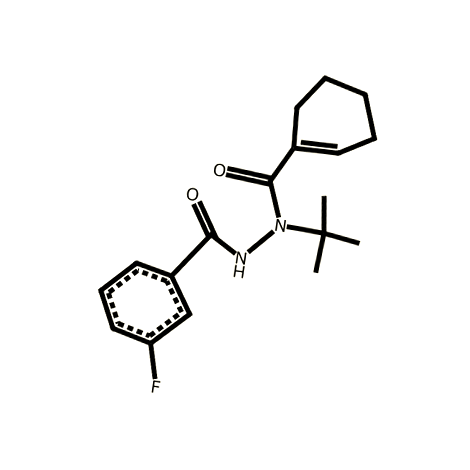 CC(C)(C)N(NC(=O)c1cccc(F)c1)C(=O)C1=CCCCC1